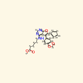 COC(=O)CCCCCNc1ncnc2oc(-c3ccccc3)c(-c3ccc4c(c3)OCO4)c12